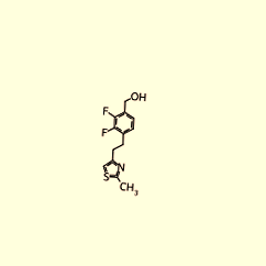 Cc1nc(CCc2ccc(CO)c(F)c2F)cs1